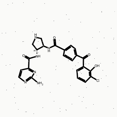 Nc1nccc(C(=O)N[C@@H]2CNCC2NC(=O)c2ccc(C(=O)c3cccc(Cl)c3O)cc2)n1